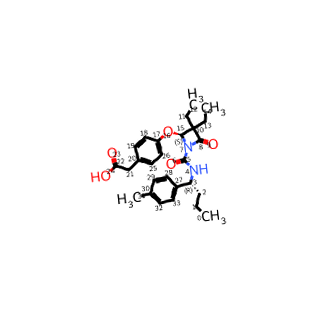 CCC[C@@H](NC(=O)N1C(=O)C(CC)(CC)[C@@H]1Oc1ccc(CC(=O)O)cc1)c1ccc(C)cc1